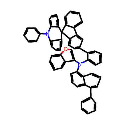 c1ccc(-c2cccc3c(N(c4ccccc4-c4ccc5c(c4)-c4ccccc4C54c5ccccc5N(c5ccccc5)c5ccccc54)c4coc5ccccc45)cccc23)cc1